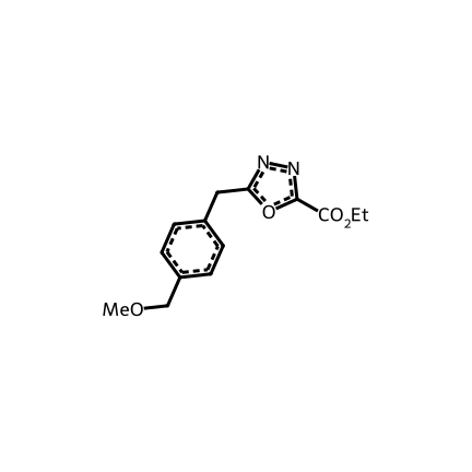 CCOC(=O)c1nnc(Cc2ccc(COC)cc2)o1